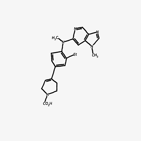 CCc1cc(C2=CCN(C(=O)O)CC2)ccc1N(C)c1cc2c(cn1)ncn2C